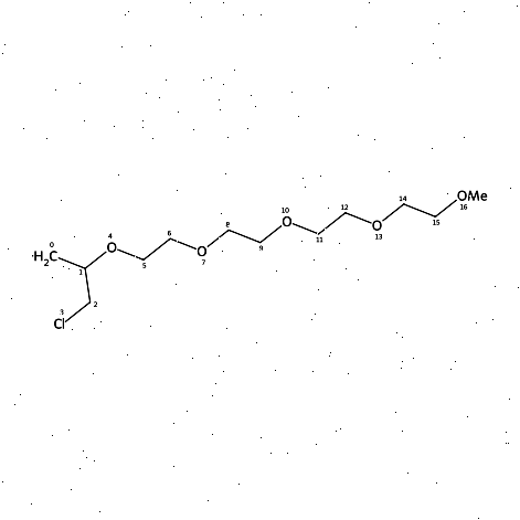 [CH2]C(CCl)OCCOCCOCCOCCOC